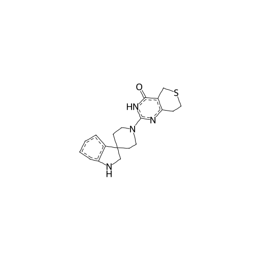 O=c1[nH]c(N2CCC3(CC2)CNc2ccccc23)nc2c1CSCC2